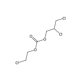 O=C(OCCCl)OCC(Cl)CCl